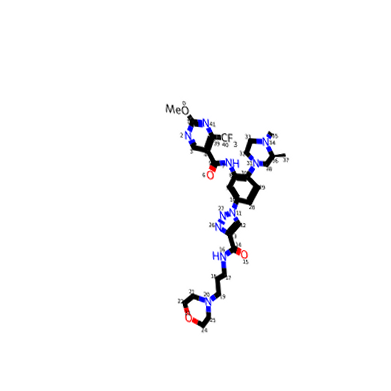 COc1ncc(C(=O)Nc2cc(-n3cc(C(=O)NCCCN4CCOCC4)nn3)ccc2N2CCN(C)[C@@H](C)C2)c(C(F)(F)F)n1